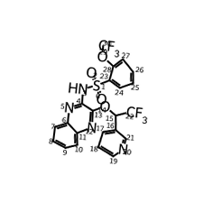 O=S(=O)(Nc1nc2ccccc2nc1OC(c1cccnc1)C(F)(F)F)c1ccccc1OC(F)(F)F